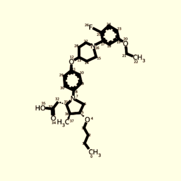 CCCCO[C@H]1CN(c2ccc(OC3CCN(c4cc(OCC)ccc4F)CC3)cc2)[C@@H](CC(=O)O)[C@@H]1C